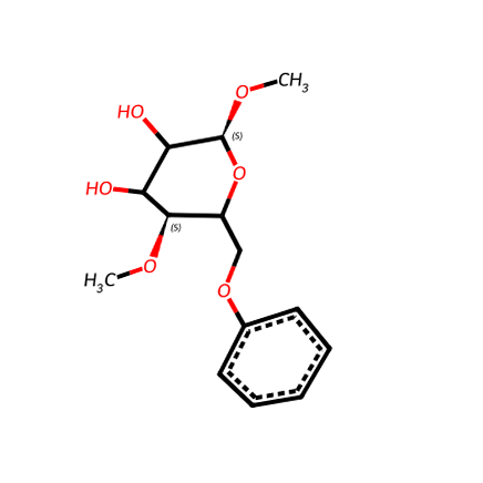 CO[C@H]1OC(COc2ccccc2)[C@@H](OC)C(O)C1O